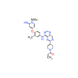 C=CC(=O)N1CC=C(c2ncc3ncnc(Nc4ccc(Oc5ccn(NC)c(=N)c5)c(C)c4)c3n2)CC1